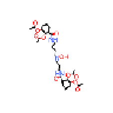 CC(=O)Oc1cccc(C(=O)NCCCCN(O)CCCNC(=O)c2cccc(OC(C)=O)c2OC(C)=O)c1OC(C)=O